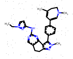 CCn1ccc(Nc2ncc3c(n2)-c2c(nn(C)c2-c2ccc(C4=CN(C)CCC(C)=C4)cc2)CC3)n1